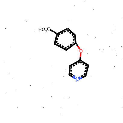 O=C(O)c1ccc(Oc2ccncc2)cc1